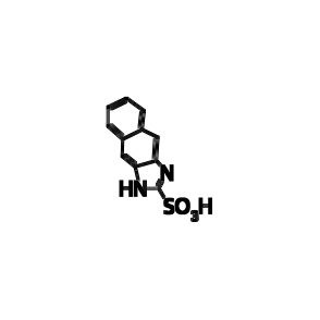 O=S(=O)(O)c1nc2cc3ccccc3cc2[nH]1